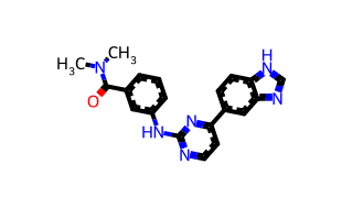 CN(C)C(=O)c1cccc(Nc2nccc(-c3ccc4[nH]cnc4c3)n2)c1